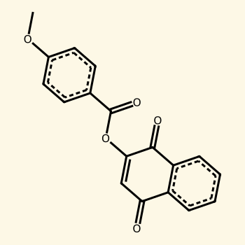 COc1ccc(C(=O)OC2=CC(=O)c3ccccc3C2=O)cc1